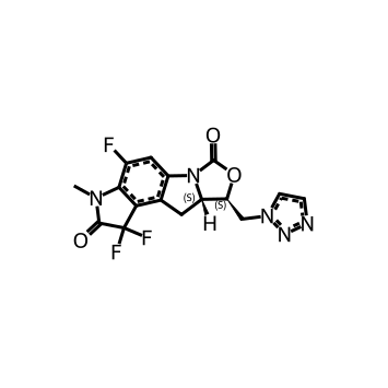 CN1C(=O)C(F)(F)c2c3c(cc(F)c21)N1C(=O)O[C@@H](Cn2ccnn2)[C@@H]1C3